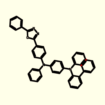 c1ccc(-c2nnc(-c3ccc(N(c4ccccc4)c4ccc(N(c5ccccc5)c5ccccc5-c5ccccc5)cc4)cc3)o2)cc1